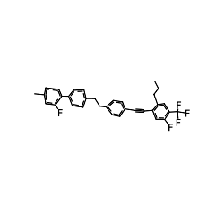 CCCc1cc(C(F)(F)F)c(F)cc1C#Cc1ccc(CCc2ccc(-c3ccc(C)cc3F)cc2)cc1